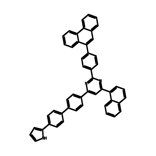 c1c[nH]c(-c2ccc(-c3ccc(-c4cc(-c5cccc6ccccc56)nc(-c5ccc(-c6cc7ccccc7c7ccccc67)cc5)n4)cc3)cc2)c1